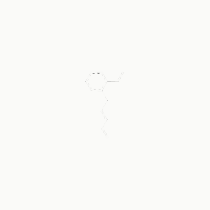 C=CC=CCc1ccccc1C=C